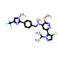 COc1nnc(-c2c(Cl)cnn2C(C)C)cc1N(C)Cc1ccc(-c2nc(C(F)(F)F)cn2C)cc1